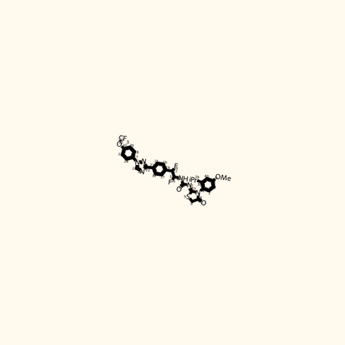 COc1ccc(N2C(=O)CS/C2=N\C(=O)NC(F)C(F)c2ccc(-c3ncn(-c4ccc(OC(F)(F)F)cc4)n3)cc2)c(C(C)C)c1